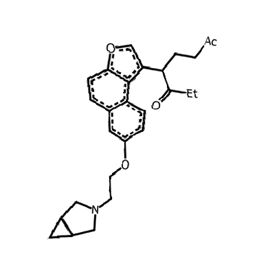 CCC(=O)C(CCC(C)=O)c1coc2ccc3cc(OCCN4CC5CC5C4)ccc3c12